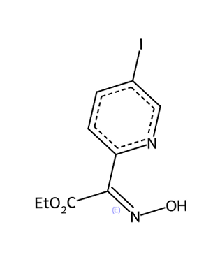 CCOC(=O)/C(=N/O)c1ccc(I)cn1